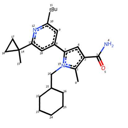 Cc1c(C(N)=O)cc(-c2cc(C(C)(C)C)nc(C3(C)CC3)c2)n1CC1CCCCC1